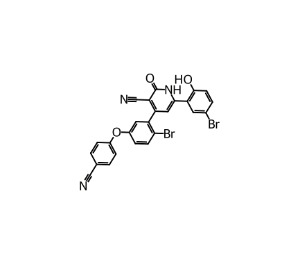 N#Cc1ccc(Oc2ccc(Br)c(-c3cc(-c4cc(Br)ccc4O)[nH]c(=O)c3C#N)c2)cc1